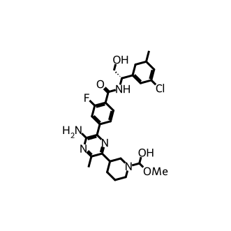 COC(O)N1CCCC(c2nc(-c3ccc(C(=O)N[C@H](CO)C4=CC(Cl)=CC(C)C4)c(F)c3)c(N)nc2C)C1